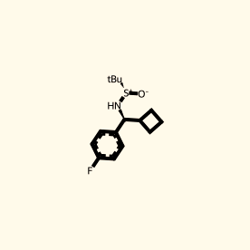 CC(C)(C)[S@+]([O-])N[C@H](c1ccc(F)cc1)C1CCC1